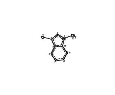 Cn1cc(Cl)c2cccnc21